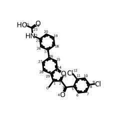 Cc1c(C(=O)c2ccc(Cl)cc2Cl)oc2cc(-c3cccc(NC(=O)O)c3)ccc12